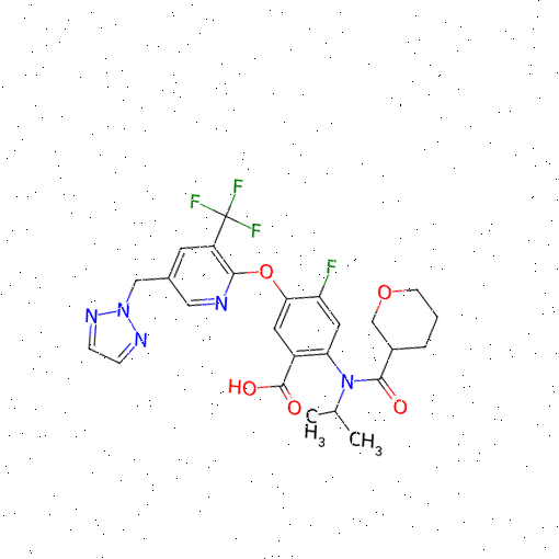 CC(C)N(C(=O)C1CCCOC1)c1cc(F)c(Oc2ncc(Cn3nccn3)cc2C(F)(F)F)cc1C(=O)O